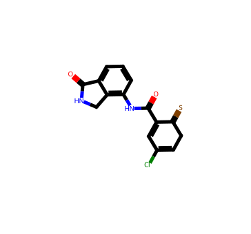 O=C(Nc1cccc2c1CNC2=O)C1=CC(Cl)=CCC1=S